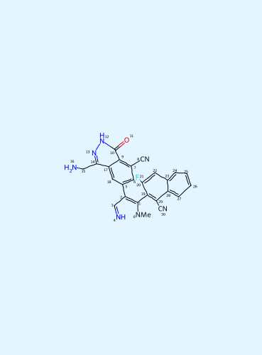 CN/C(=C(\C=N)c1cc(C#N)c2c(=O)[nH]nc(CN)c2c1)c1c(F)cc2ccccc2c1C#N